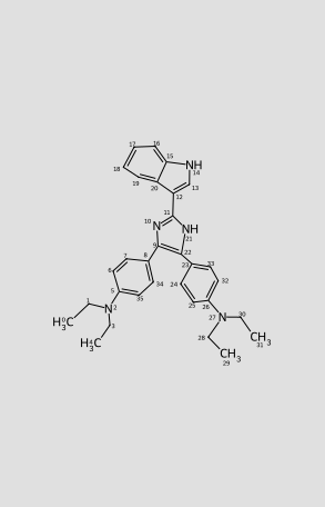 CCN(CC)c1ccc(-c2nc(-c3c[nH]c4ccccc34)[nH]c2-c2ccc(N(CC)CC)cc2)cc1